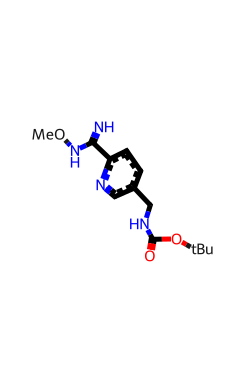 CONC(=N)c1ccc(CNC(=O)OC(C)(C)C)cn1